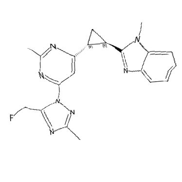 Cc1nc([C@@H]2C[C@H]2c2nc3ccccc3n2C)cc(-n2nc(C)nc2CF)n1